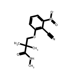 CNC(=O)C(C)(C)COc1cccc([N+](=O)[O-])c1C#N